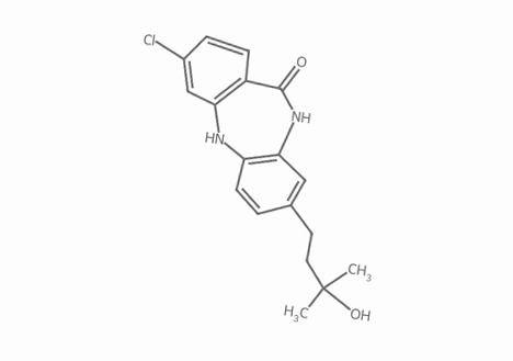 CC(C)(O)CCc1ccc2c(c1)NC(=O)c1ccc(Cl)cc1N2